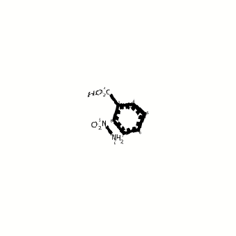 N[N+](=O)[O-].O=C(O)c1ccccc1